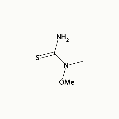 CON(C)C(N)=S